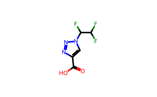 O=C(O)c1cn(C(F)C(F)F)nn1